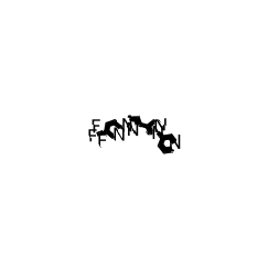 FC(F)(F)c1ccc(-n2ccc(-c3cnn(-c4cccnc4)c3)n2)nc1